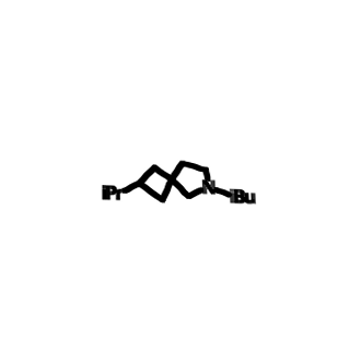 CCC(C)N1CCC2(CC(C(C)C)C2)C1